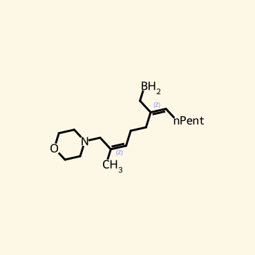 BC/C(=C/CCCCC)CC/C=C(/C)CN1CCOCC1